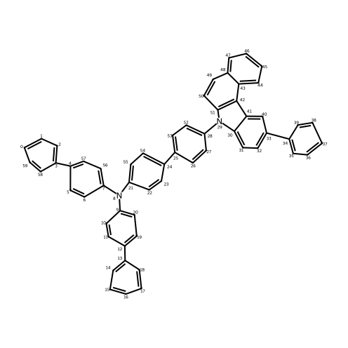 c1ccc(-c2ccc(N(c3ccc(-c4ccccc4)cc3)c3ccc(-c4ccc(-n5c6ccc(-c7ccccc7)cc6c6c7ccccc7ccc65)cc4)cc3)cc2)cc1